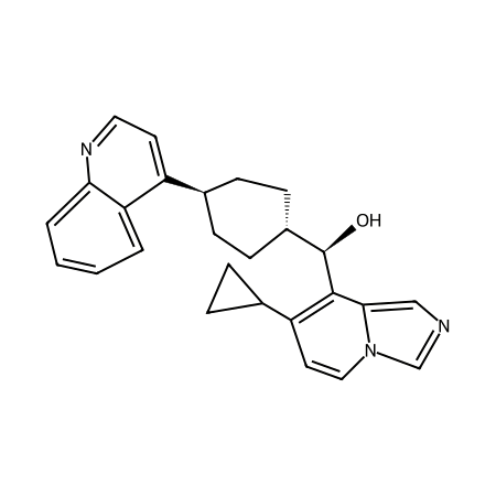 O[C@@H](c1c(C2CC2)ccn2cncc12)[C@H]1CC[C@H](c2ccnc3ccccc32)CC1